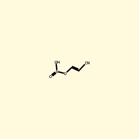 N#CC=CO[Si](=O)O